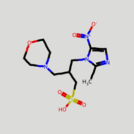 Cc1ncc([N+](=O)[O-])n1CC(CN1CCOCC1)CS(=O)(=O)O